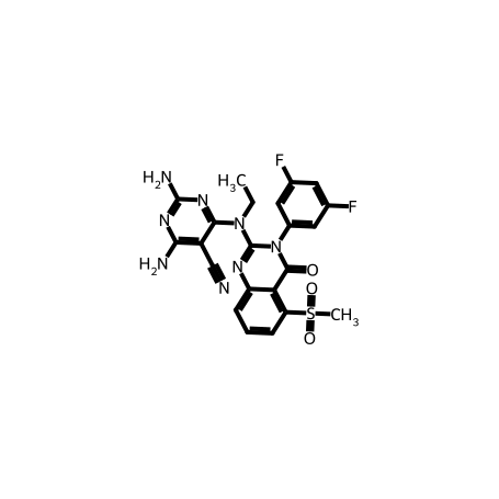 CCN(c1nc(N)nc(N)c1C#N)c1nc2cccc(S(C)(=O)=O)c2c(=O)n1-c1cc(F)cc(F)c1